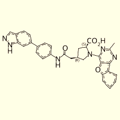 Cc1nc(N2C[C@@H](CC(=O)Nc3ccc(-c4ccc5cn[nH]c5c4)cc3)C[C@H]2C(=O)O)c2oc3ccccc3c2n1